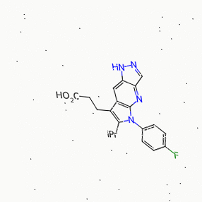 CC(C)c1c(CCC(=O)O)c2cc3[nH]ncc3nc2n1-c1ccc(F)cc1